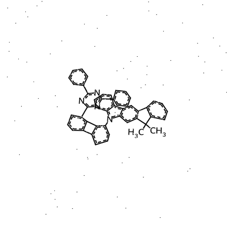 CC1(C)c2ccccc2-c2cc3c4ccccc4n(-c4cccc5c4-c4c(-c6nc(-c7ccccc7)nc(-c7ccccc7)n6)cccc4-5)c3cc21